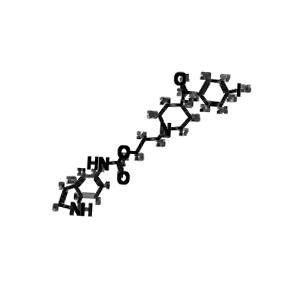 O=C(Nc1ccc2[nH]ccc2c1)OCCCN1CCC(C(=O)c2ccc(I)cc2)CC1